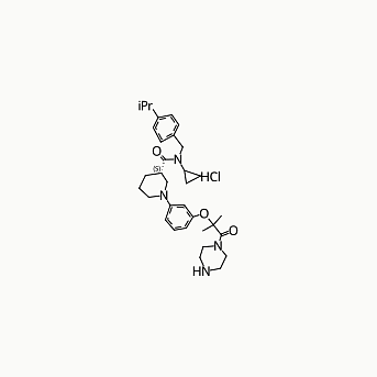 CC(C)c1ccc(CN(C(=O)[C@H]2CCCN(c3cccc(OC(C)(C)C(=O)N4CCNCC4)c3)C2)C2CC2)cc1.Cl